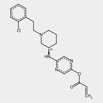 C=CC(=O)Oc1cnc(N[C@@H]2CCCN(CCc3ccccc3Cl)C2)cn1